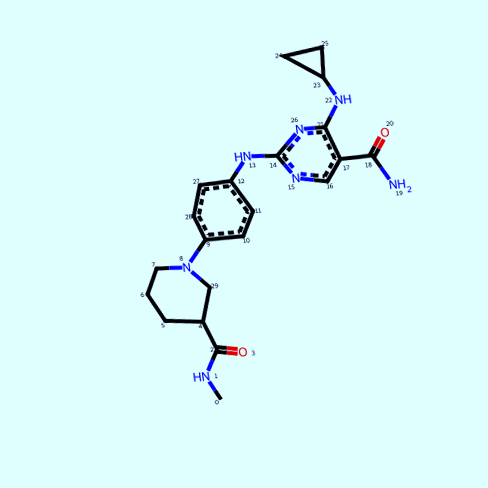 CNC(=O)C1CCCN(c2ccc(Nc3ncc(C(N)=O)c(NC4CC4)n3)cc2)C1